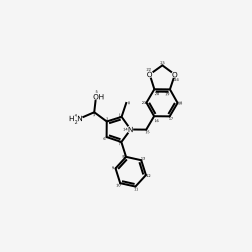 Cc1c(C(N)O)cc(-c2ccccc2)n1Cc1ccc2c(c1)OCO2